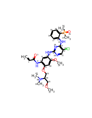 C=CC(=O)Nc1cc(Nc2ncc(Cl)c(Nc3ccccc3P(C)(C)=O)n2)c(OC)cc1OCC(COC)N(C)C